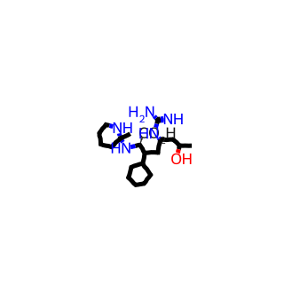 CC(O)CC(CC(C1CCCCC1)[C@H](NC1(C)CCCCN1)C(=O)O)NC(=N)N